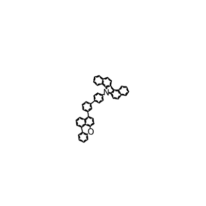 c1cc(-c2ccc(-n3c4ccc5ccccc5c4c4ccc5ccccc5c43)cc2)cc(-c2ccc3c4c(cccc24)-c2ccccc2O3)c1